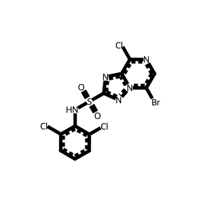 O=S(=O)(Nc1c(Cl)cccc1Cl)c1nc2c(Cl)ncc(Br)n2n1